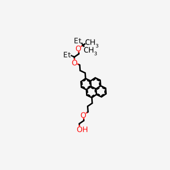 CCC(COC(C)(C)CC)OCCCc1ccc2cc(CCCOCCO)c3cccc4ccc1c2c43